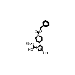 CC(C)(C)OC(O)N1C[C@H](O)C[C@H]1C1CCN(C(=O)OCc2ccccc2)CC1